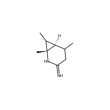 CC1CC(=N)N[C@]2(C)C(C)[C@@H]12